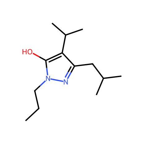 CCCn1nc(CC(C)C)c(C(C)C)c1O